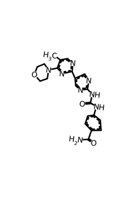 Cc1cnc(-c2cnc(NC(=O)Nc3ccc(C(N)=O)cc3)nc2)nc1N1CCOCC1